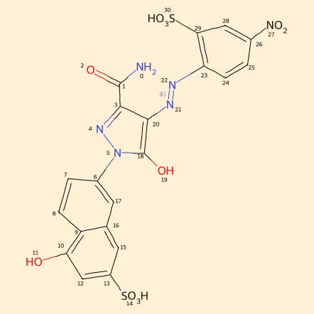 NC(=O)c1nn(-c2ccc3c(O)cc(S(=O)(=O)O)cc3c2)c(O)c1/N=N/c1ccc([N+](=O)[O-])cc1S(=O)(=O)O